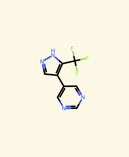 FC(F)(F)c1[nH]ncc1-c1cncnc1